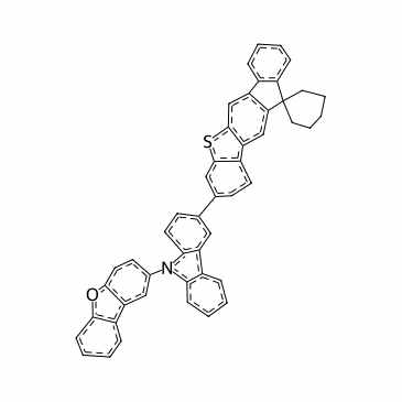 c1ccc2c(c1)-c1cc3sc4cc(-c5ccc6c(c5)c5ccccc5n6-c5ccc6oc7ccccc7c6c5)ccc4c3cc1C21CCCCC1